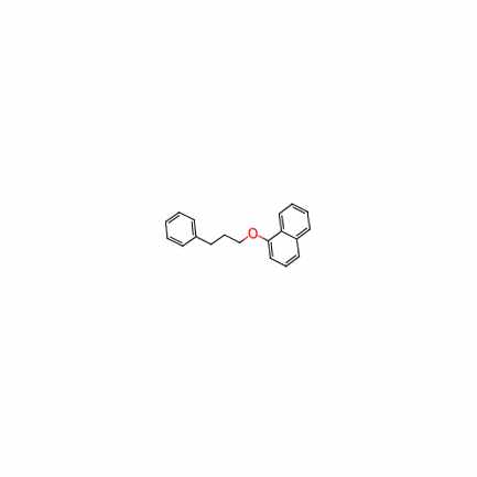 c1ccc(CCCOc2cccc3ccccc23)cc1